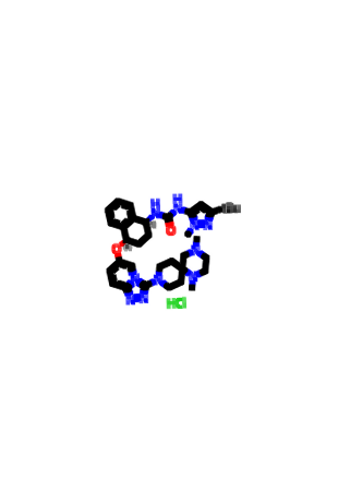 CN1CCN(C)C2(CCN(c3nnc4ccc(O[C@@H]5CC[C@H](NC(=O)Nc6cc(C(C)(C)C)nn6C)c6ccccc65)cn34)CC2)C1.Cl